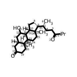 CC(C)C(=O)CC[C@@H](C)[C@H]1CC[C@H]2[C@@H]3C(O)C[C@@H]4CC(=O)CC[C@]4(C)[C@H]3CC[C@]12C